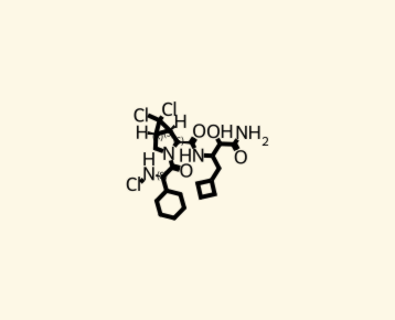 NC(=O)C(O)C(CC1CCC1)NC(=O)[C@@H]1[C@@H]2[C@H](CN1C(=O)[C@@H](NCl)C1CCCCC1)C2(Cl)Cl